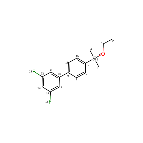 CCO[Si](C)(C)c1ccc(-c2cc(F)cc(F)c2)cc1